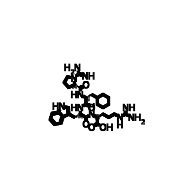 N=C(N)NCCC[C@H](NC(=O)[C@H](Cc1c[nH]c2ccccc12)NC(=O)[C@@H](CC1CCCCC1)NC(=O)[C@@H]1CCCN1C(=N)N)C(=O)O